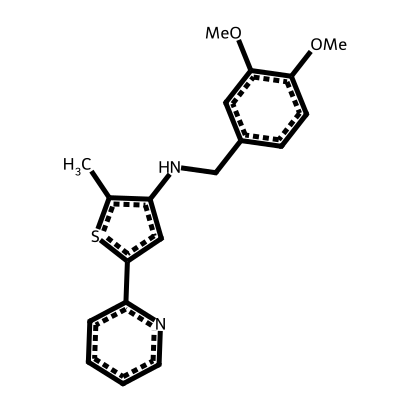 COc1ccc(CNc2cc(-c3ccccn3)sc2C)cc1OC